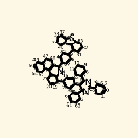 c1ccc(-c2nc(-c3ccccc3)c(-c3ccc(-c4cccc5c4nc(-c4ccc(-c6cccc7sc8ccccc8c67)cc4)c4ccc6ccccc6c45)cc3)c(-c3ccccc3)n2)cc1